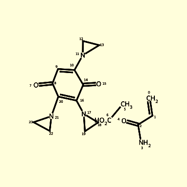 C=CC(N)=O.CC(=O)O.O=C1C=C(N2CC2)C(=O)C(N2CC2)=C1N1CC1